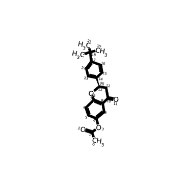 CC(=O)Oc1ccc2c(c1)C(=O)C[C@H](c1ccc(C(C)(C)C)cc1)O2